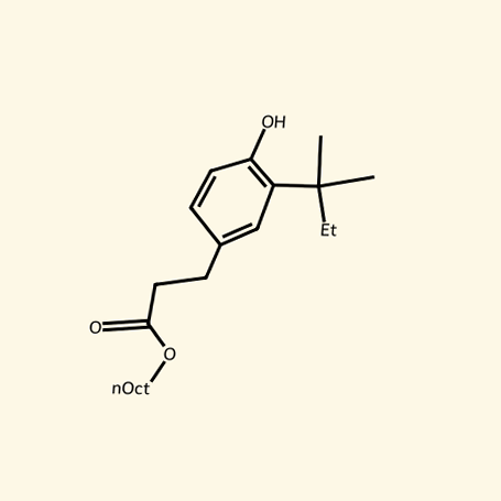 CCCCCCCCOC(=O)CCc1ccc(O)c(C(C)(C)CC)c1